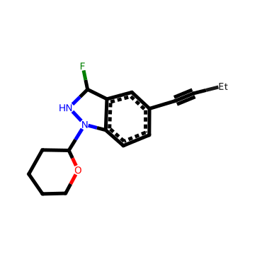 CCC#Cc1ccc2c(c1)C(F)NN2C1CCCCO1